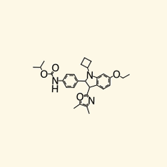 CCOc1ccc2c(c1)N(C1CCC1)C(c1ccc(NC(=O)OC(C)C)cc1)C2c1nc(C)c(C)o1